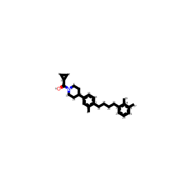 Cc1cc(C2CCN(C(=O)C3CC3)CC2)ccc1CCCCc1cccc(C)c1C